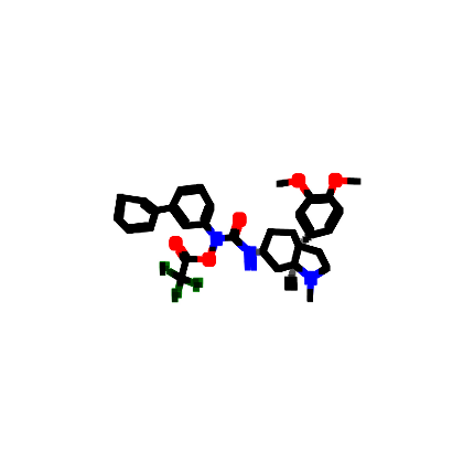 COc1ccc([C@@]23CC[C@@H](NC(=O)N(OC(=O)C(F)(F)F)c4cccc(-c5ccccc5)c4)C[C@@H]2N(C)CC3)cc1OC